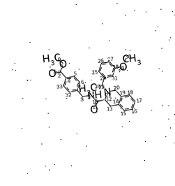 COC(=O)c1ccc(CNC(=O)[C@@H]2Cc3ccccc3CN2[C@H](C)c2cccc(OC)c2)cc1